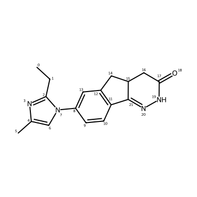 CCc1nc(C)cn1-c1ccc2c(c1)CC1CC(=O)NN=C21